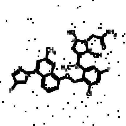 Cc1cc(-n2cc(F)cn2)c2cccc(OCc3c(Cl)cc(F)cc3[C@H](C)N3C[C@H](O)N(CC(N)=O)[C@H]3O)c2n1